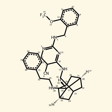 N#CC1CN=C(NCc2ccccc2OC(F)(F)F)N=C1NCC12C[C@H]3CC1C[C@@H](C2)[C@@H]3NCCc1ccccc1